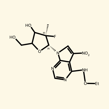 CCONc1ncnc2c1c([N+](=O)[O-])cn2[C@@H]1OC(CO)C(O)[C@@]1(C)F